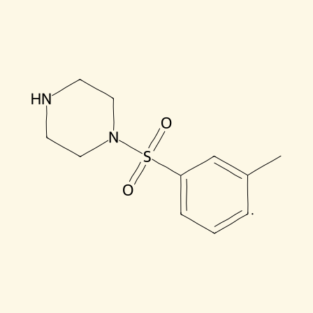 Cc1[c]ccc(S(=O)(=O)N2CCNCC2)c1